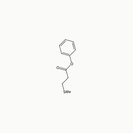 CSCCC(=O)Oc1ccccc1